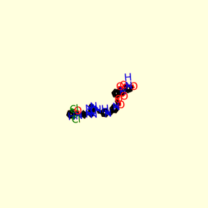 O=C1CC[C@H](N2C(=O)c3cccc(OCC(=O)N4CCC(CN5CCC(CNc6ncnc7c6ncn7C6CC(NC(=O)c7c(Cl)cccc7Cl)C6)CC5)CC4)c3C2=O)C(=O)N1